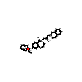 O=C1c2ccc(OC3CC4CCC(C3)N4CCF)cc2OCCN1CC(O)CN1CCc2ccccc2C1